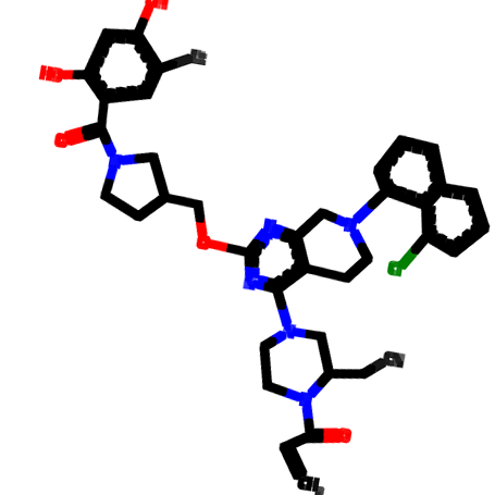 C=CC(=O)N1CCN(c2nc(OCC3CCN(C(=O)c4cc(CC)c(O)cc4O)C3)nc3c2CCN(c2cccc4cccc(Cl)c24)C3)CC1CC#N